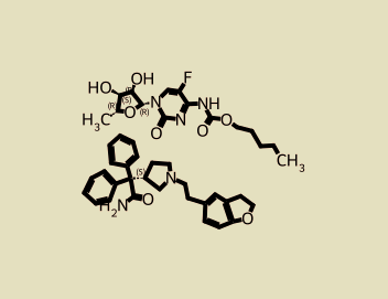 CCCCCOC(=O)Nc1nc(=O)n([C@@H]2O[C@H](C)[C@@H](O)[C@H]2O)cc1F.NC(=O)C(c1ccccc1)(c1ccccc1)[C@@H]1CCN(CCc2ccc3c(c2)CCO3)C1